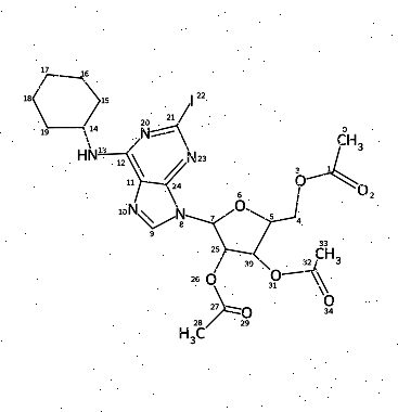 CC(=O)OCC1OC(n2cnc3c(NC4CCCCC4)nc(I)nc32)C(OC(C)=O)C1OC(C)=O